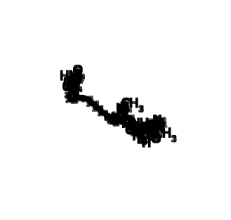 COc1cc(N2CCN(CCCCCCCCC#Cc3cccc4c3CN(C3CCC(=O)NC3=O)C4=O)CC2)c(-c2cnn(C)c2)cc1Nc1ncc(Br)c(Nc2ccc3nccnc3c2P(C)(C)=O)n1